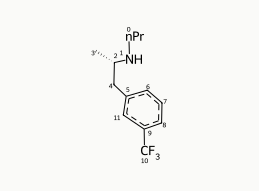 CCCN[C@@H](C)Cc1cccc(C(F)(F)F)c1